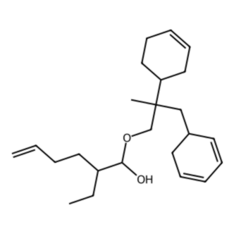 C=CCCC(CC)C(O)OCC(C)(CC1C=CC=CC1)C1CC=CCC1